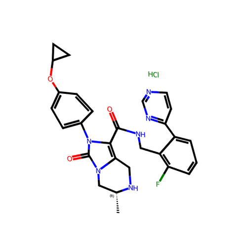 C[C@@H]1Cn2c(c(C(=O)NCc3c(F)cccc3-c3ccncn3)n(-c3ccc(OC4CC4)cc3)c2=O)CN1.Cl